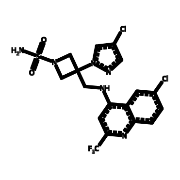 NS(=O)(=O)N1CC(CNc2cc(C(F)(F)F)nc3ccc(Cl)cc23)(n2cc(Cl)cn2)C1